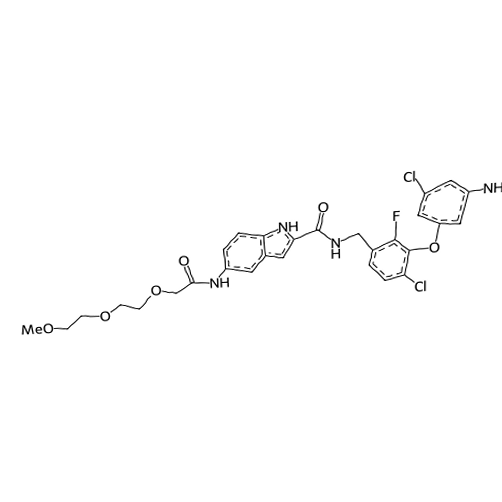 COCCOCCOCC(=O)Nc1ccc2[nH]c(C(=O)NCc3ccc(Cl)c(Oc4cc(N)cc(Cl)c4)c3F)cc2c1